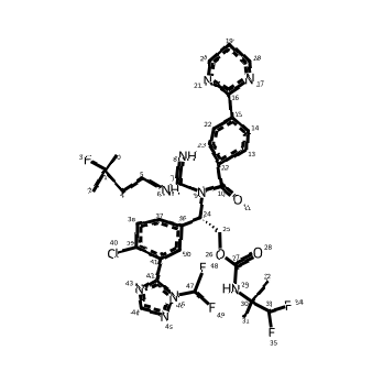 CC(C)(F)CCNC(=N)N(C(=O)c1ccc(-c2ncccn2)cc1)[C@H](COC(=O)NC(C)(C)C(F)F)c1ccc(Cl)c(-c2ncnn2C(F)F)c1